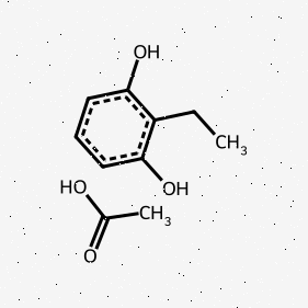 CC(=O)O.CCc1c(O)cccc1O